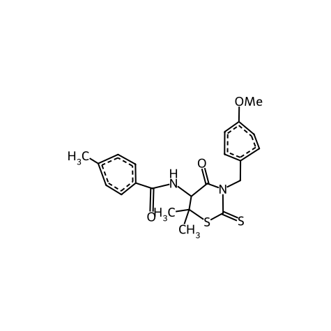 COc1ccc(CN2C(=O)C(NC(=O)c3ccc(C)cc3)C(C)(C)SC2=S)cc1